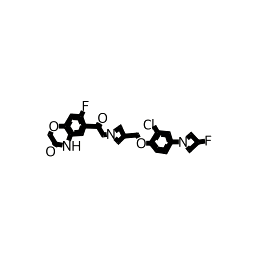 O=C1COc2cc(F)c(C(=O)CN3CC(COc4ccc(N5CC(F)C5)cc4Cl)C3)cc2N1